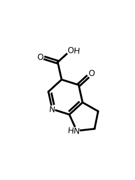 O=C(O)C1C=NC2=C(CCN2)C1=O